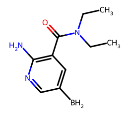 Bc1cnc(N)c(C(=O)N(CC)CC)c1